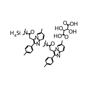 Cc1ccc(-c2nc3ccc(C)cn3c2CC(=O)N(C)C)cc1.Cc1ccc(-c2nc3ccc(C)cn3c2CC(=O)N(C)C)cc1.O=C(O)C(O)C(O)C(=O)O.[SiH4]